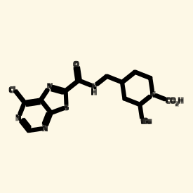 CC(C)(C)C1CC(CNC(=O)c2nc3c(Cl)ncnc3s2)CCN1C(=O)O